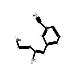 C#Cc1cccc(/C=C(\C=C\C(C)(C)C)N=O)c1